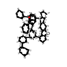 c1ccc(-c2cccc(-c3nc(-c4cccc(-c5ccccc5)c4)nc(-c4cccc5oc6cc7c8ccccc8n(-c8cccc(-c9ccccc9)c8)c7cc6c45)n3)c2)cc1